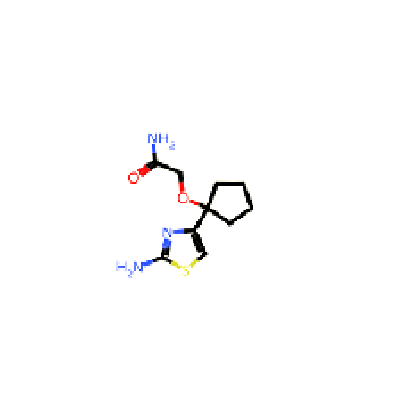 NC(=O)COC1(c2csc(N)n2)CCCC1